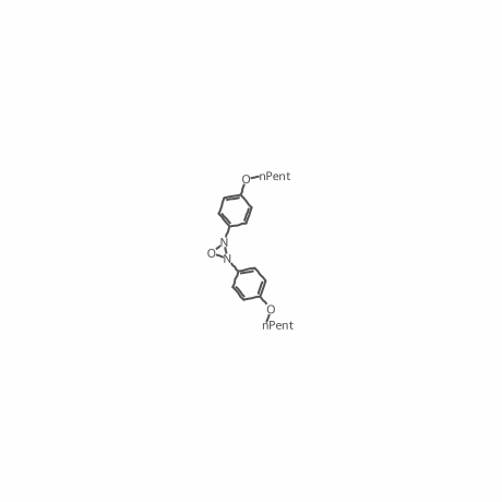 CCCCCOc1ccc(-n2on2-c2ccc(OCCCCC)cc2)cc1